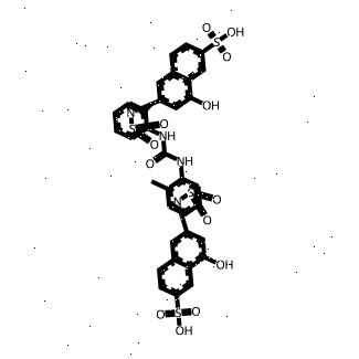 Cc1c2ccc(c1NC(=O)Nc1c3ccc(c1C)N(c1cc(O)c4cc(S(=O)(=O)O)ccc4c1)S3(=O)=O)S(=O)(=O)N2c1cc(O)c2cc(S(=O)(=O)O)ccc2c1